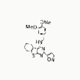 COc1ccc(CNc2nc(-c3ccno3)nc3sc4c(c23)CCCC4)cc1OC